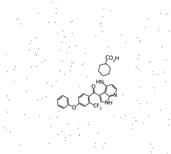 O=C(c1ccc(Oc2ccccc2)cc1C(F)(F)F)c1c[nH]c2nccc(N[C@H]3CC[C@H](C(=O)O)CC3)c12